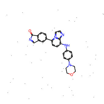 O=C1N=Cc2cc(-c3ccc(Nc4ccc(N5CCOCC5)cc4)c4nccn34)ccc21